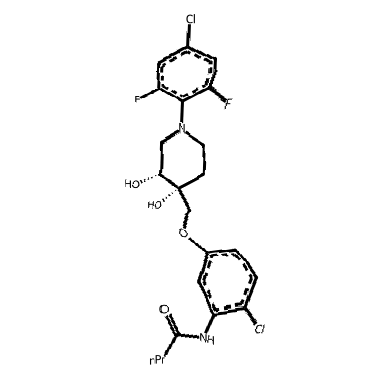 CCCC(=O)Nc1cc(OC[C@]2(O)CCN(c3c(F)cc(Cl)cc3F)C[C@H]2O)ccc1Cl